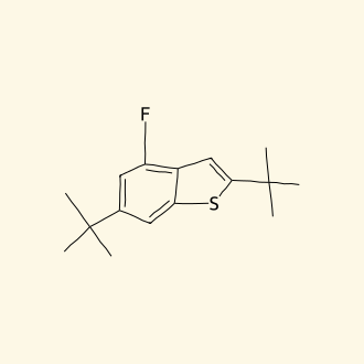 CC(C)(C)c1cc(F)c2cc(C(C)(C)C)sc2c1